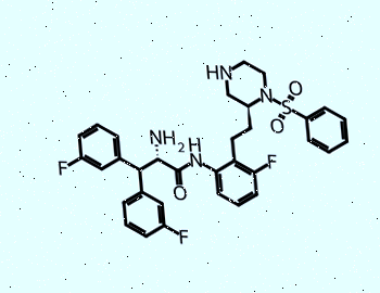 N[C@H](C(=O)Nc1cccc(F)c1CC[C@H]1CNCCN1S(=O)(=O)c1ccccc1)C(c1cccc(F)c1)c1cccc(F)c1